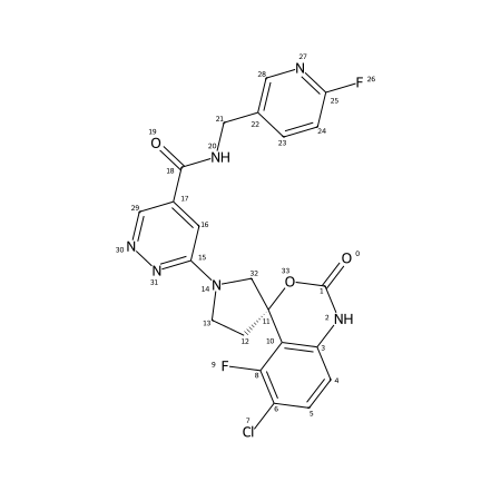 O=C1Nc2ccc(Cl)c(F)c2[C@]2(CCN(c3cc(C(=O)NCc4ccc(F)nc4)cnn3)C2)O1